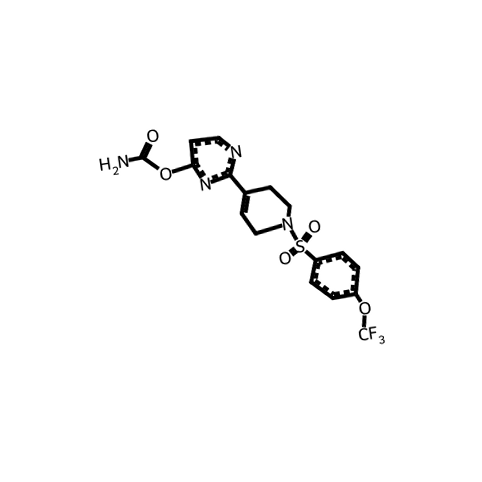 NC(=O)Oc1ccnc(C2=CCN(S(=O)(=O)c3ccc(OC(F)(F)F)cc3)CC2)n1